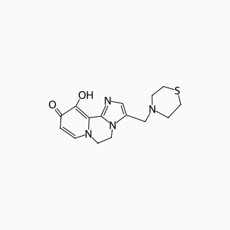 O=c1ccn2c(c1O)-c1ncc(CN3CCSCC3)n1CC2